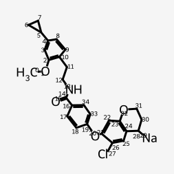 COc1cc(C2CC2)ccc1CCNC(=O)c1ccc(Oc2cc3c(cc2Cl)[CH]([Na])CCO3)cc1